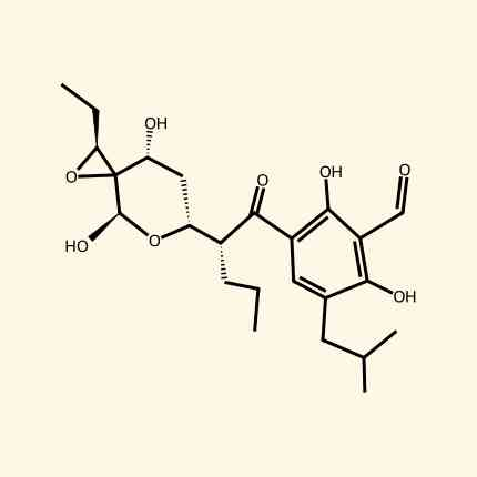 CCC[C@@H](C(=O)c1cc(CC(C)C)c(O)c(C=O)c1O)[C@H]1C[C@@H](O)C2(O[C@H]2CC)[C@H](O)O1